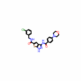 O=C(Nc1n[nH]c2sc(C(=O)NCc3cccc(Cl)c3)cc12)c1ccc(N2CCOCC2)cc1